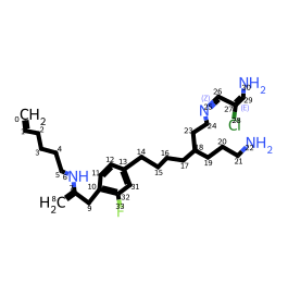 C=CCCCCNC(=C)Cc1ccc(CCCCC(CCCN)CC/N=C\C(Cl)=C/N)cc1F